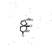 CCC(C)N1CCC2(CCC(=O)NC2=O)C1